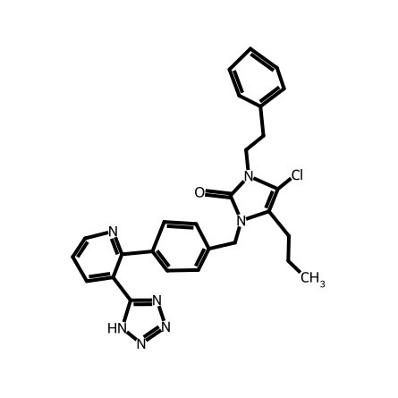 CCCc1c(Cl)n(CCc2ccccc2)c(=O)n1Cc1ccc(-c2ncccc2-c2nnn[nH]2)cc1